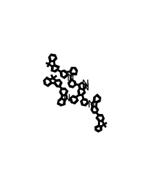 CC1(C)c2ccccc2-c2cc(-c3ccc4c(c3)c3ccccc3n4-c3cccc(-c4cc5nncc(-c6cccc(-n7c8ccccc8c8cc(-c9ccc%10c(c9)-c9ccccc9C%10(C)C)ccc87)c6)c5cc4-c4cccc(-n5c6ccccc6c6cc(-c7ccc8c(c7)-c7ccccc7C8(C)C)ccc65)c4)c3)ccc21